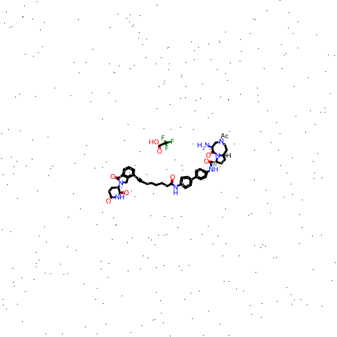 CC(=O)N1CC[C@H]2CC[C@@H](C(=O)Nc3ccc(-c4ccc(NC(=O)CCCCCC#Cc5cccc6c5CN(C5CCC(=O)NC5=O)C6=O)cc4)cc3)N2C(=O)[C@@H](N)C1.O=C(O)C(F)(F)F